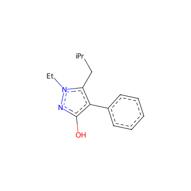 CCn1nc(O)c(-c2ccccc2)c1CC(C)C